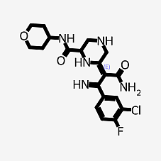 N=C(/C(C(N)=O)=C1/CNCC(C(=O)NC2CCOCC2)N1)c1ccc(F)c(Cl)c1